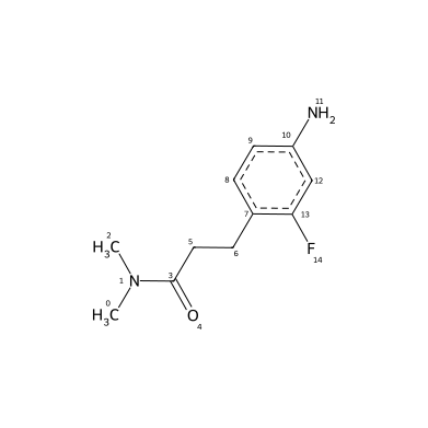 CN(C)C(=O)CCc1ccc(N)cc1F